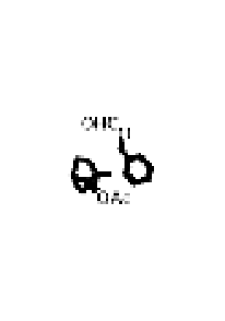 CC(=O)OC1CC2CCC1(C)C2(C)C.O=COCc1ccccc1